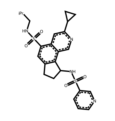 CC(C)CNS(=O)(=O)c1cc2c(c3cnc(C4CC4)cc13)C(NS(=O)(=O)c1cccnc1)CC2